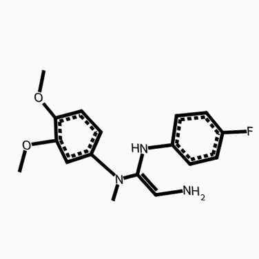 COc1ccc(N(C)/C(=C/N)Nc2ccc(F)cc2)cc1OC